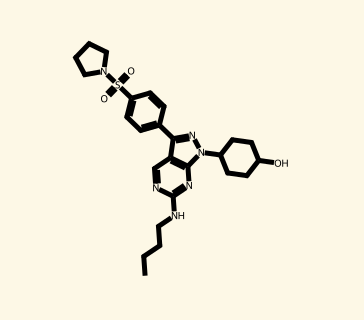 CCCCNc1ncc2c(-c3ccc(S(=O)(=O)N4CCCC4)cc3)nn(C3CCC(O)CC3)c2n1